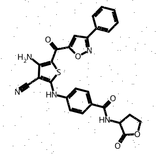 N#Cc1c(Nc2ccc(C(=O)NC3CCOC3=O)cc2)sc(C(=O)c2cc(-c3ccccc3)no2)c1N